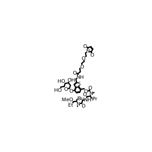 CCC(C)C(C(CC)OC)N(C)C(=O)CNC(=O)C(C(C)C)N(C)C(=O)OCc1ccc(OC2CC(O)C(O)C(CO)O2)c2cc(CNC(=O)CCOCCOCCN3C(=O)C=CC3=O)sc12